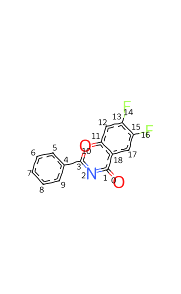 O=c1nc(-c2ccccc2)oc2cc(F)c(F)cc12